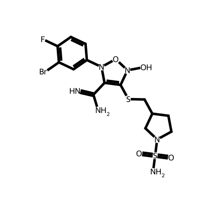 N=C(N)C1=C(SCC2CCN(S(N)(=O)=O)C2)N(O)ON1c1ccc(F)c(Br)c1